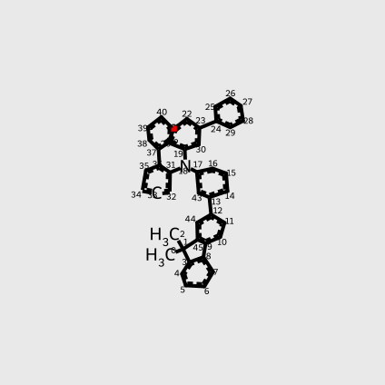 CC1(C)c2ccccc2-c2ccc(-c3cccc(N(c4cccc(-c5ccccc5)c4)c4ccccc4-c4ccccc4)c3)cc21